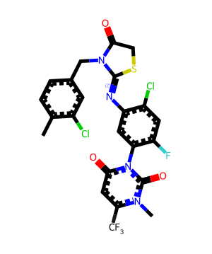 Cc1ccc(CN2C(=O)CS/C2=N\c2cc(-n3c(=O)cc(C(F)(F)F)n(C)c3=O)c(F)cc2Cl)cc1Cl